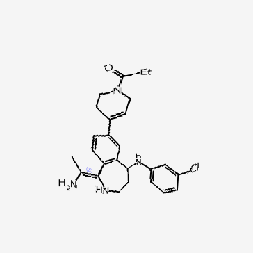 CCC(=O)N1CC=C(c2ccc3c(c2)C(Nc2cccc(Cl)c2)CCN/C3=C(/C)N)CC1